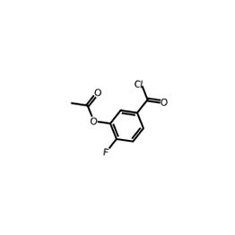 CC(=O)Oc1cc(C(=O)Cl)ccc1F